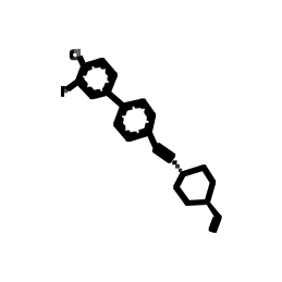 C=C[C@H]1CC[C@H](C#Cc2ccc(-c3ccc(Cl)c(F)c3)cc2)CC1